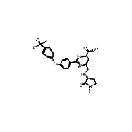 O=C(O)c1cc(CNC2CCNC2=O)nc(-c2ccc(Oc3ccc(C(F)(F)F)cc3)cc2)n1